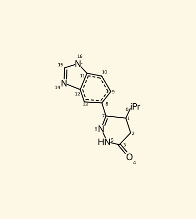 CC(C)C1CC(=O)NN=C1c1ccc2c(c1)N=C[N]2